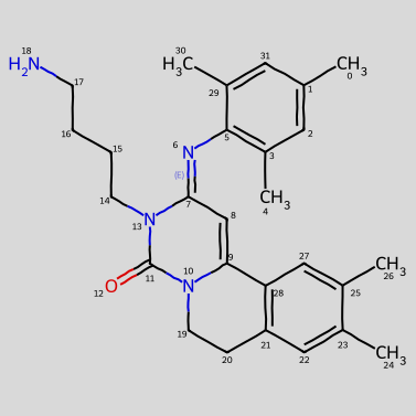 Cc1cc(C)c(/N=c2\cc3n(c(=O)n2CCCCN)CCc2cc(C)c(C)cc2-3)c(C)c1